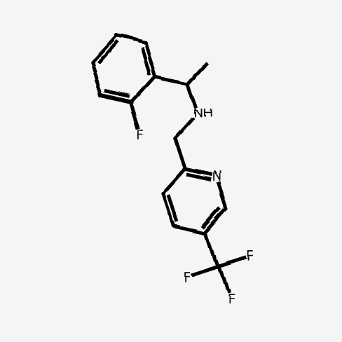 CC(NCc1ccc(C(F)(F)F)cn1)c1ccccc1F